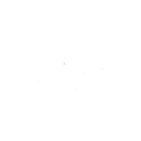 Clc1cccc(Nc2c(-c3cnccc3Br)nc3ccncn23)c1